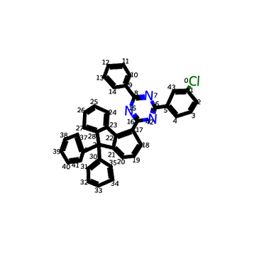 Clc1cccc(-c2nc(-c3ccccc3)nc(-c3cccc4c3-c3ccccc3C4(c3ccccc3)c3ccccc3)n2)c1